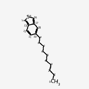 CCCCCCCCCCc1ccc2cscc2c1